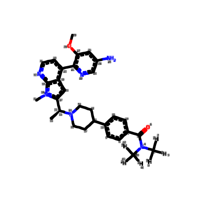 [2H]C([2H])([2H])N(C(=O)c1ccc(C2CCN([C@@H](C)c3cc4c(-c5ncc(N)cc5OC)ccnc4n3C)CC2)cc1)C([2H])([2H])[2H]